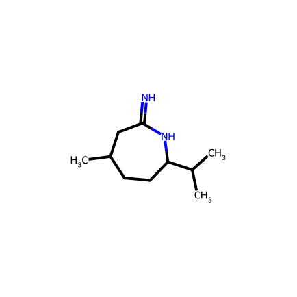 CC1CCC(C(C)C)NC(=N)C1